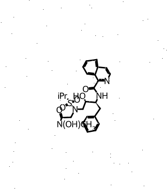 CC(C)S(=O)(=O)N(CC(=O)N(C)O)C[C@@H](O)[C@H](Cc1ccccc1)NC(=O)c1nccc2ccccc12